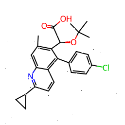 Cc1cc2nc(C3CC3)ccc2c(-c2ccc(Cl)cc2)c1[C@H](OC(C)(C)C)C(=O)O